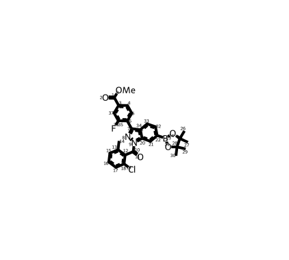 COC(=O)c1ccc(-c2nn(C(=O)c3c(C)cccc3Cl)c3cc(B4OC(C)(C)C(C)(C)O4)ccc23)c(F)c1